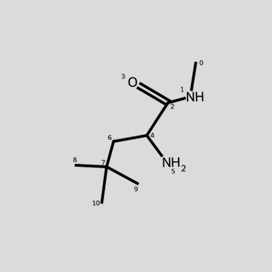 CNC(=O)C(N)CC(C)(C)C